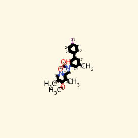 COc1c(C)cnc(CN(C(=O)O)c2cc(C)cc(-c3ccc(I)cc3)c2)c1C